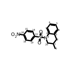 CC1Cc2ccccc2N(S(=O)(=O)c2ccc([N+](=O)[O-])cc2)C1